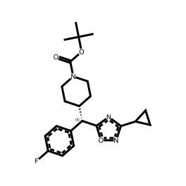 CC(C)(C)OC(=O)N1CCC([C@@H](c2ccc(F)cc2)c2nc(C3CC3)no2)CC1